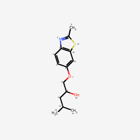 Cc1nc2ccc(OCC(O)CC(C)C)cc2s1